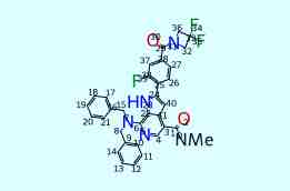 CNC(=O)c1cnc(N(Cc2ccccc2)Cc2ccccc2)c2[nH]c(-c3ccc(C(=O)N4CC(F)(F)C4)cc3F)cc12